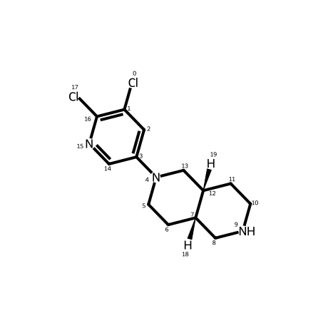 Clc1cc(N2CC[C@H]3CNCC[C@H]3C2)cnc1Cl